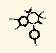 CCCCC1(CCCC)CS(=O)(=O)c2cc(OC)c(Br)cc2N(c2ccc(Cl)cc2)C1=O